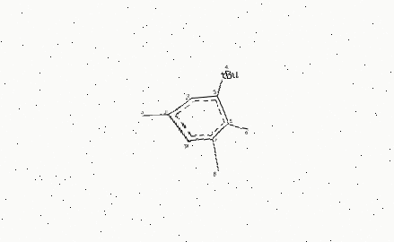 Cc1[c]c(C(C)(C)C)c(C)c(C)c1